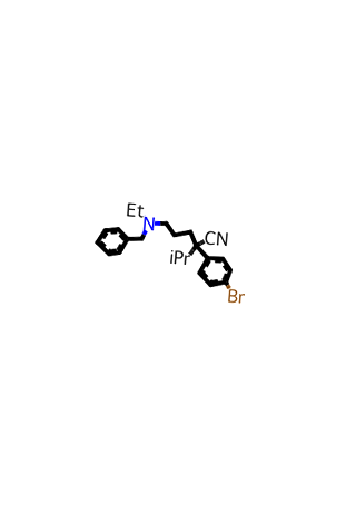 CCN(CCCC(C#N)(c1ccc(Br)cc1)C(C)C)Cc1ccccc1